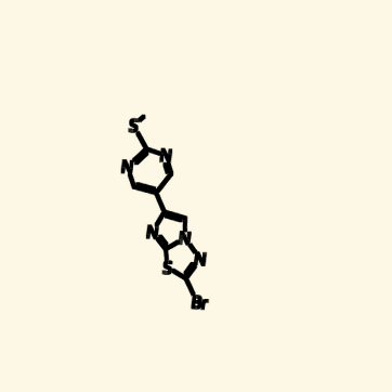 CSc1ncc(-c2cn3nc(Br)sc3n2)cn1